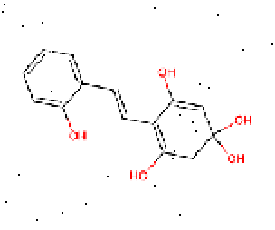 OC1=CC(O)(O)CC(O)=C1C=Cc1ccccc1O